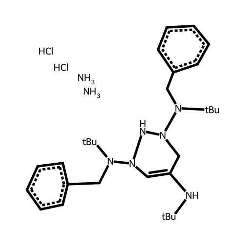 CC(C)(C)NC1=CN(N(Cc2ccccc2)C(C)(C)C)NN(N(Cc2ccccc2)C(C)(C)C)C1.Cl.Cl.N.N